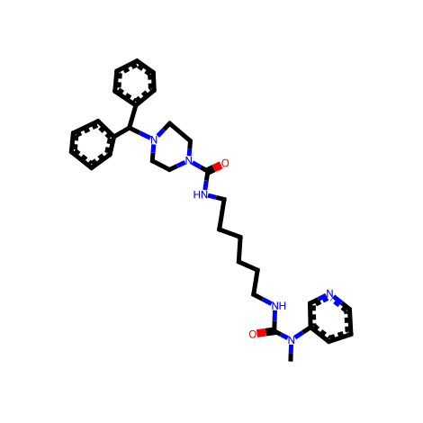 CN(C(=O)NCCCCCCNC(=O)N1CCN(C(c2ccccc2)c2ccccc2)CC1)c1cccnc1